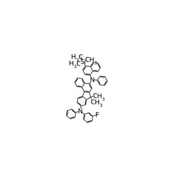 CC1(C)c2cc(N(c3ccccc3)c3cccc(F)c3)ccc2-c2c1cc(N(c1ccccc1)c1ccc([Si](C)(C)C)c3ccccc13)c1ccccc21